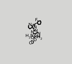 Nc1nc(-c2nn(Cc3ccccc3F)c3ncccc23)nc(N)c1NC(=O)O[C@@H]1CCOC1